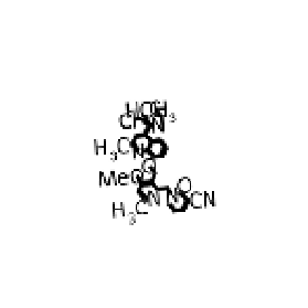 C/C=N\C(=C(/C)Cl)c1cc(C)nc2c(OCc3c(OC)cc(C)nc3Cn3cccc(C#N)c3=O)cccc12